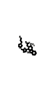 C[C@@H]1Cc2c([nH]c3ccccc23)[C@@H](c2cnc(C[C@@H]3CCN(CCCF)C3)s2)N1CC(F)F